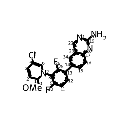 COC1C=CC(Cl)=CN1c1c(F)ccc(-c2ccc3nc(N)ncc3c2)c1F